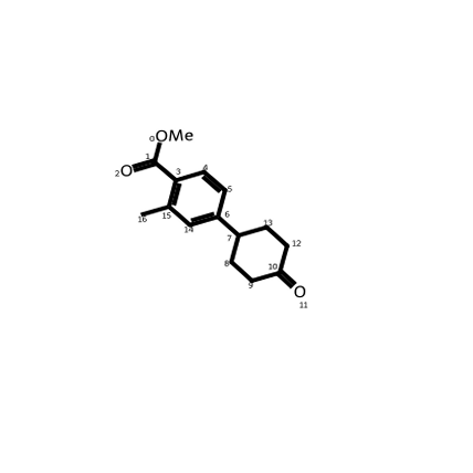 COC(=O)c1ccc(C2CCC(=O)CC2)cc1C